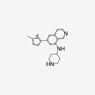 Cc1ccc(-c2cc(NC3CCNCC3)c3cnccc3c2)s1